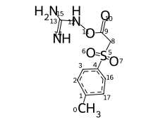 Cc1ccc(S(=O)(=O)CC(=O)ONC(=N)N)cc1